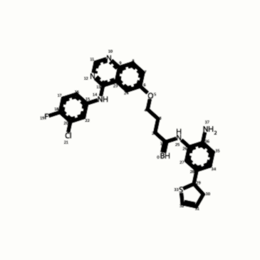 B=C(CCCOc1ccc2ncnc(Nc3ccc(F)c(Cl)c3)c2c1)Nc1cc(C2CC=CS2)ccc1N